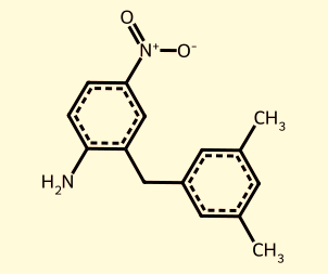 Cc1cc(C)cc(Cc2cc([N+](=O)[O-])ccc2N)c1